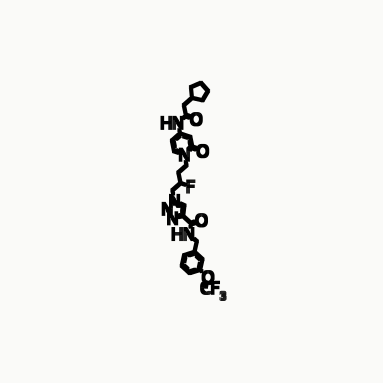 O=C(CC1CCCC1)Nc1ccn(CCC(F)Cn2cc(C(=O)NCc3cccc(OC(F)(F)F)c3)nn2)c(=O)c1